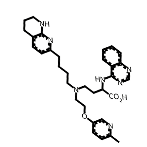 Cc1ccc(OCCN(CCCCc2ccc3c(n2)NCCC3)CCC(Nc2ncnc3ccccc23)C(=O)O)cn1